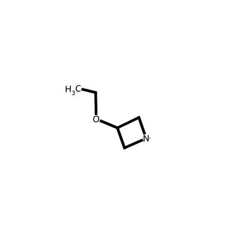 CCOC1C[N]C1